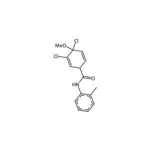 COC1(Cl)C=CC(C(=O)Nc2ccccc2C)C=C1Cl